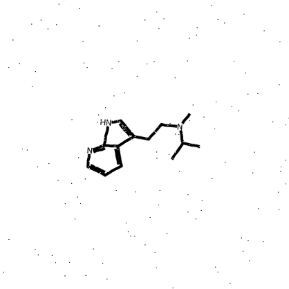 CC(C)N(C)CCc1c[nH]c2ncccc12